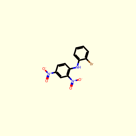 O=[N+]([O-])c1ccc(Nc2ccccc2Br)c([N+](=O)[O-])c1